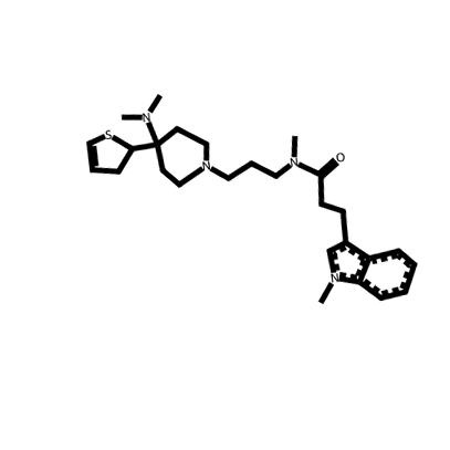 CN(CCCN1CCC(C2CC=CS2)(N(C)C)CC1)C(=O)CCc1cn(C)c2ccccc12